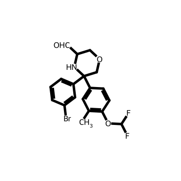 Cc1cc(C2(c3cccc(Br)c3)COCC(C=O)N2)ccc1OC(F)F